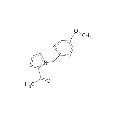 COc1ccc(Cn2cccc2C(C)=O)cc1